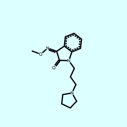 CON=C1C(=O)N(CCCN2CCCC2)c2ccccc21